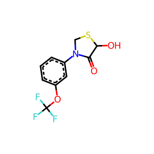 O=C1C(O)SCN1c1cccc(OC(F)(F)F)c1